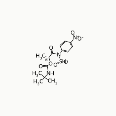 C[C@@H](OC(=O)NC(C)(C)C)C(=O)N(c1ccc([N+](=O)[O-])cc1)[SH](=O)=O